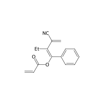 C=CC(=O)OC(=C(CC)C(=C)C#N)c1ccccc1